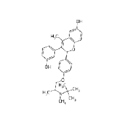 CC1=C(c2cccc(O)c2)C(c2ccc(OCC(C)N(C)C(C)(C)C)cc2)Oc2ccc(O)cc21